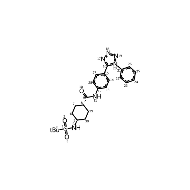 CC(C)(C)S(=O)(=O)N[C@H]1CC[C@H](C(=O)Nc2ccc(-c3nnnn3-c3ccccc3)cc2)CC1